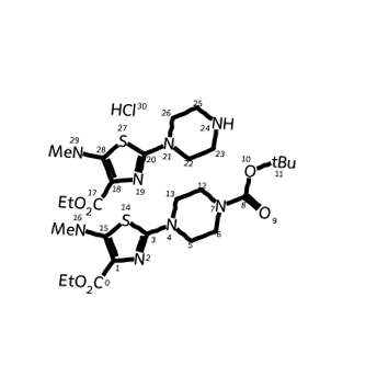 CCOC(=O)c1nc(N2CCN(C(=O)OC(C)(C)C)CC2)sc1NC.CCOC(=O)c1nc(N2CCNCC2)sc1NC.Cl